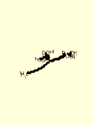 CCCCCCCCCCCCCCCCCCCCCC(=O)OCC(O)CO.O=C(O)c1ccccc1CC(O)CO